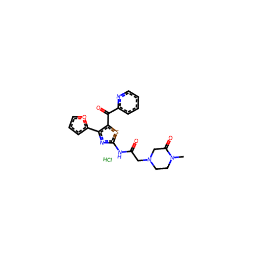 CN1CCN(CC(=O)Nc2nc(-c3ccco3)c(C(=O)c3ccccn3)s2)CC1=O.Cl